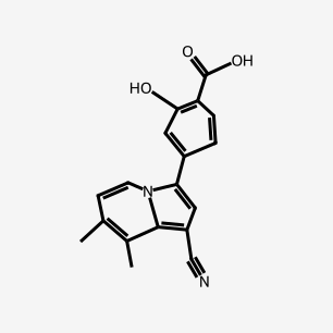 Cc1ccn2c(-c3ccc(C(=O)O)c(O)c3)cc(C#N)c2c1C